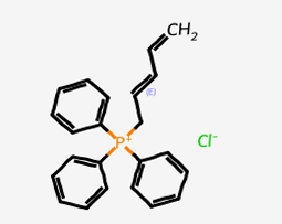 C=C/C=C/C[P+](c1ccccc1)(c1ccccc1)c1ccccc1.[Cl-]